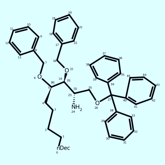 CCCCCCCCCCCCCC[C@@H](OCc1ccccc1)[C@@H](OCc1ccccc1)[C@@H](N)COC(c1ccccc1)(c1ccccc1)c1ccccc1